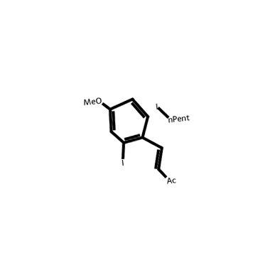 CCCCCI.COc1ccc(C=CC(C)=O)c(I)c1